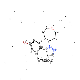 CCOC(=O)c1cnn(C2CCCOCC2)c1-c1ccc(Br)cc1[N+](=O)[O-]